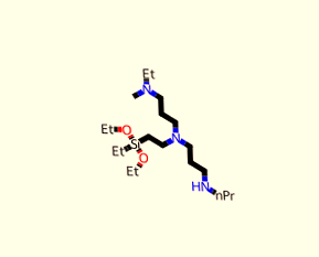 CCCNCCCN(CCCN(C)CC)CC[Si](CC)(OCC)OCC